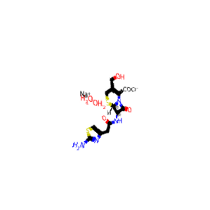 Nc1nc(CC(=O)N[C@@H]2C(=O)N3C(C(=O)[O-])=C(CO)CS[C@H]23)cs1.O.O.[Na+]